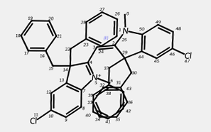 CN1/C(=C/C2=[N+](C)c3ccc(Cl)cc3C2(Cc2ccccc2)Cc2ccccc2)C(Cc2ccccc2)(Cc2ccccc2)c2cc(Cl)ccc21